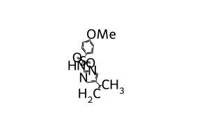 C=C(C)c1cnc(NS(=O)(=O)c2ccc(OC)cc2)nc1